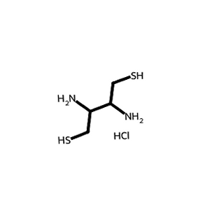 Cl.NC(CS)C(N)CS